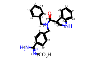 N/C(=N/C(=O)O)c1ccc(CN(Cc2ccccc2)C(=O)c2c[nH]c3ccccc23)cc1